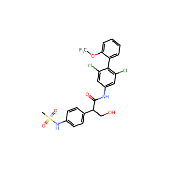 CS(=O)(=O)Nc1ccc(C(CO)C(=O)Nc2cc(Cl)c(-c3ccccc3OC(F)(F)F)c(Cl)c2)cc1